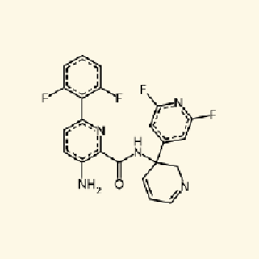 Nc1ccc(-c2c(F)cccc2F)nc1C(=O)NC1(c2cc(F)nc(F)c2)C=CC=NC1